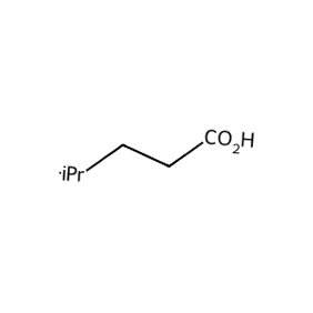 C[C](C)CCC(=O)O